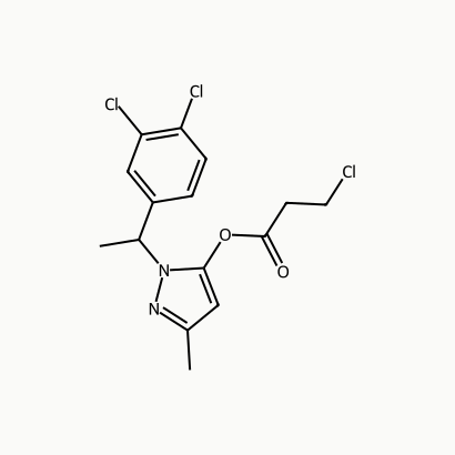 Cc1cc(OC(=O)CCCl)n(C(C)c2ccc(Cl)c(Cl)c2)n1